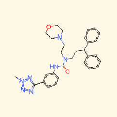 Cn1nnc(-c2cccc(NC(=O)N(CCC(c3ccccc3)c3ccccc3)CCN3CCOCC3)c2)n1